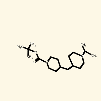 CC(C)N1CCC(CC2CCN(C(=O)OC(C)(C)C)CC2)CC1